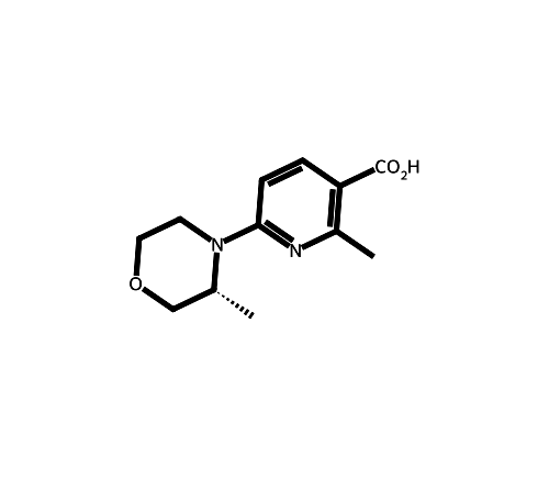 Cc1nc(N2CCOC[C@H]2C)ccc1C(=O)O